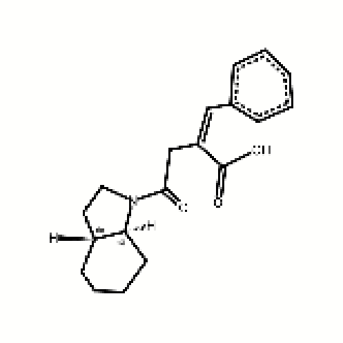 O=C(O)C(=Cc1ccccc1)CC(=O)N1CC[C@H]2CCCC[C@@H]21